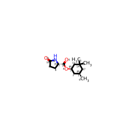 C[C@H]1C[C@@H](OC(=O)[C@@H]2CCC(=O)N2)CC(C)(C)C1